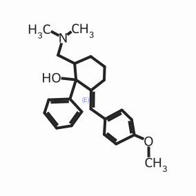 COc1ccc(/C=C2\CCCC(CN(C)C)C2(O)c2ccccc2)cc1